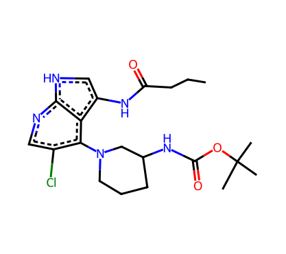 CCCC(=O)Nc1c[nH]c2ncc(Cl)c(N3CCCC(NC(=O)OC(C)(C)C)C3)c12